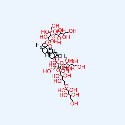 C=C1CC23CCC4[C@](C)(C(=O)OC(O)C(O)C(OC(O)C(O)C(O)C(O)CCO)C(O)CCO)CCC[C@@]4(C)[C@@H]2CC[C@]1(OC(O)C(OC(O)C(O)C(O)C(O)CCO)C(C)(OC(O)C(O)C(O)C(O)CCOC(O)C(O)C(O)C(O)CCO)C(O)CCO)C3